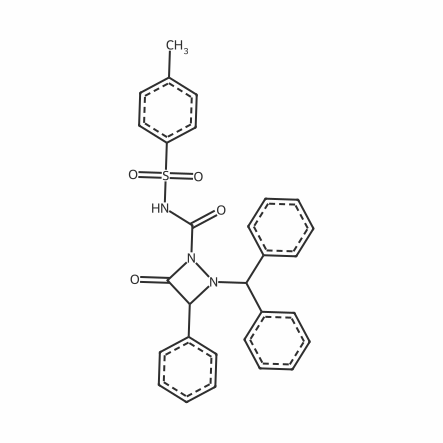 Cc1ccc(S(=O)(=O)NC(=O)N2C(=O)C(c3ccccc3)N2C(c2ccccc2)c2ccccc2)cc1